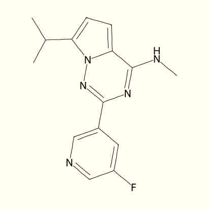 CNc1nc(-c2cncc(F)c2)nn2c(C(C)C)ccc12